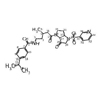 CC(CCNC(=O)c1ccc(C(C)C)cc1)CC(=O)N1CCC2C1C(=O)CN2S(=O)(=O)c1cccnc1